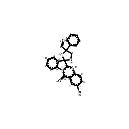 C=CC1(c2ccccc2)COC2(O1)c1ccccc1-n1c2nc2ccc(Br)cc2c1=O